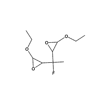 CCOC1OC1C(C)(F)C1OC1OCC